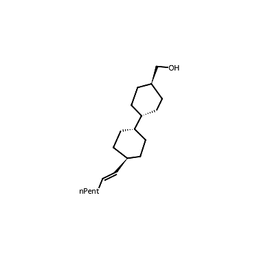 CCCCCC=C[C@H]1CC[C@H]([C@H]2CC[C@H](CO)CC2)CC1